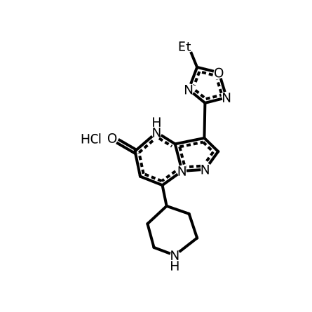 CCc1nc(-c2cnn3c(C4CCNCC4)cc(=O)[nH]c23)no1.Cl